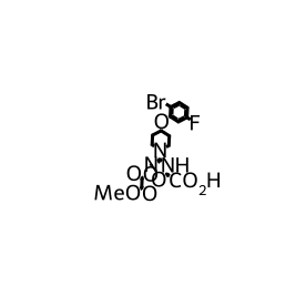 COC(=O)C(=O)O/N=C(\NC(=O)C(=O)O)N1CCC(Oc2cc(F)ccc2Br)CC1